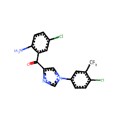 Nc1ccc(Cl)cc1C(=O)c1cn(-c2ccc(Cl)c(C(F)(F)F)c2)cn1